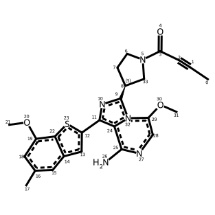 CC#CC(=O)N1CC[C@H](c2nc(-c3cc4cc(C)cc(OC)c4s3)c3c(N)ncc(OC)n23)C1